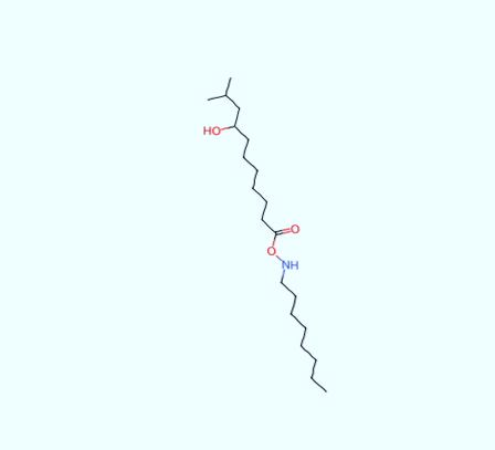 CCCCCCCCNOC(=O)CCCCCCC(O)CC(C)C